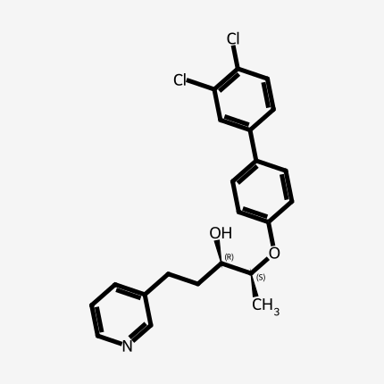 C[C@H](Oc1ccc(-c2ccc(Cl)c(Cl)c2)cc1)[C@H](O)CCc1cccnc1